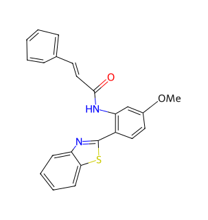 COc1ccc(-c2nc3ccccc3s2)c(NC(=O)C=Cc2ccccc2)c1